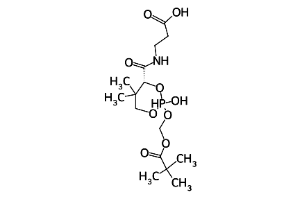 CC(C)(C)C(=O)OCO[PH]1(O)OCC(C)(C)[C@H](C(=O)NCCC(=O)O)O1